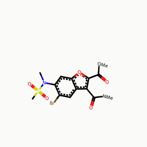 CNC(=O)c1c(C(=O)OC)oc2cc(N(C)S(C)(=O)=O)c(Br)cc12